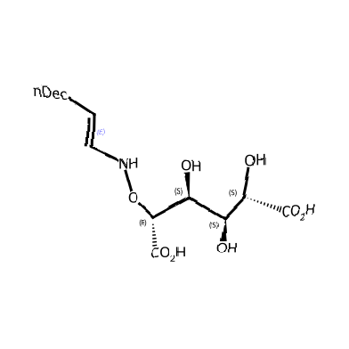 CCCCCCCCCC/C=C/NO[C@@H](C(=O)O)[C@@H](O)[C@H](O)[C@H](O)C(=O)O